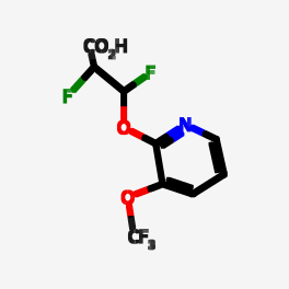 O=C(O)C(F)C(F)Oc1ncccc1OC(F)(F)F